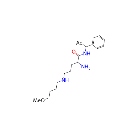 COCCCCNCCCC(N)C(=O)NC(C(C)=O)c1ccccc1